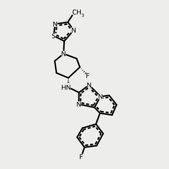 Cc1nsc(N2CC[C@@H](Nc3nc4c(-c5ccc(F)cc5)cccn4n3)[C@@H](F)C2)n1